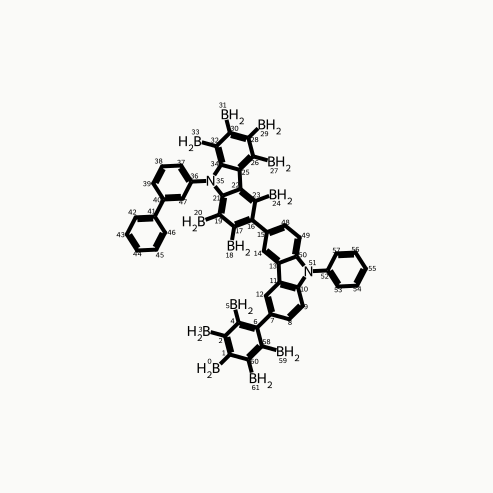 Bc1c(B)c(B)c(-c2ccc3c(c2)c2cc(-c4c(B)c(B)c5c(c4B)c4c(B)c(B)c(B)c(B)c4n5-c4cccc(-c5ccccc5)c4)ccc2n3-c2ccccc2)c(B)c1B